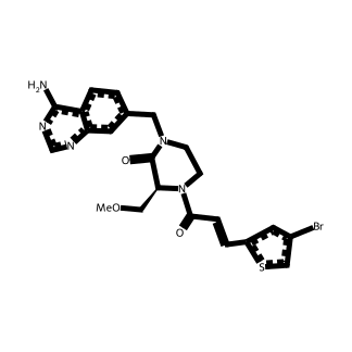 COC[C@H]1C(=O)N(Cc2ccc3c(N)ncnc3c2)CCN1C(=O)C=Cc1cc(Br)cs1